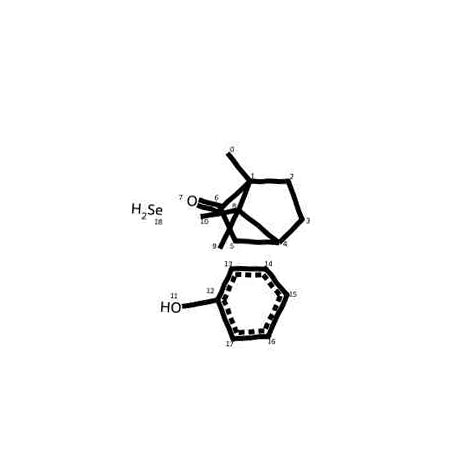 CC12CCC(CC1=O)C2(C)C.Oc1ccccc1.[SeH2]